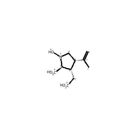 C=C(C)[C@H]1CN(O)[C@H](C(=O)O)[C@H]1CC(=O)O